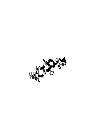 CN1NNNC1Cn1c(=O)c2cc(S(=O)(=O)NC3(C)CC3)ccc2n(C)c1=O